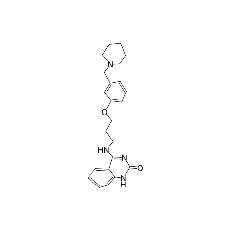 O=c1nc(NCCCOc2cccc(CN3CCCCC3)c2)c2ccccc2[nH]1